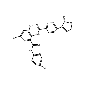 O=C1OCC=C1c1ccc(C(=O)Nc2c(O)cc(Cl)cc2C(=O)Nc2ccc(Cl)cn2)cc1